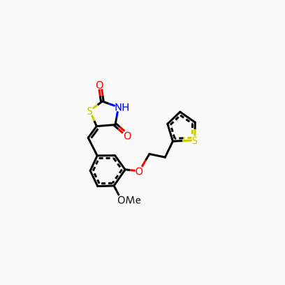 COc1ccc(/C=C2/SC(=O)NC2=O)cc1OCCc1cccs1